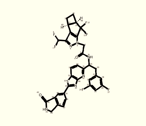 O=C(Cn1nc(C(F)F)c2c1C(F)(F)[C@@H]1CC[C@H]21)NC(Cc1cc(F)cc(F)c1)c1ccc2sc(-c3ccc4c(c3)C(=O)NC4)nc2n1